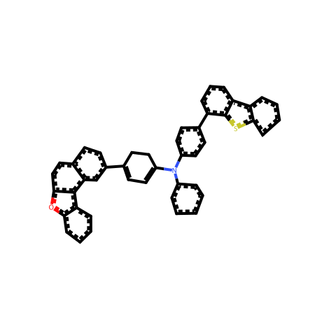 C1=C(c2ccc3ccc4oc5ccccc5c4c3c2)CCC(N(c2ccccc2)c2ccc(-c3cccc4c3sc3ccccc34)cc2)=C1